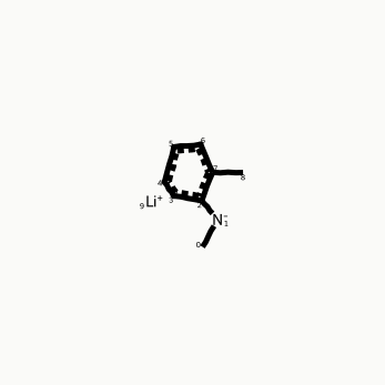 C[N-]c1ccccc1C.[Li+]